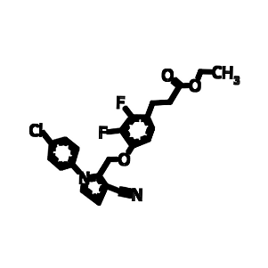 CCOC(=O)CCc1ccc(OCc2c(C#N)ccn2-c2ccc(Cl)cc2)c(F)c1F